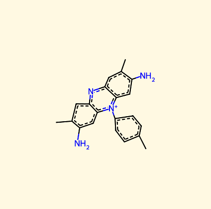 Cc1ccc(-[n+]2c3cc(N)c(C)cc3nc3cc(C)c(N)cc32)cc1